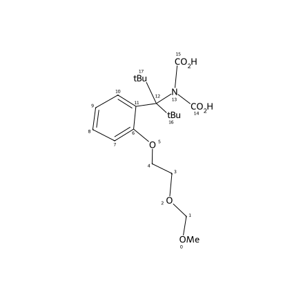 COCOCCOc1ccccc1C(N(C(=O)O)C(=O)O)(C(C)(C)C)C(C)(C)C